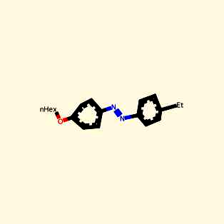 CCCCCCOc1ccc(N=Nc2ccc(CC)cc2)cc1